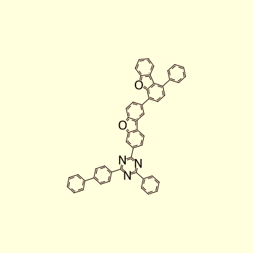 c1ccc(-c2ccc(-c3nc(-c4ccccc4)nc(-c4ccc5c(c4)oc4ccc(-c6ccc(-c7ccccc7)c7c6oc6ccccc67)cc45)n3)cc2)cc1